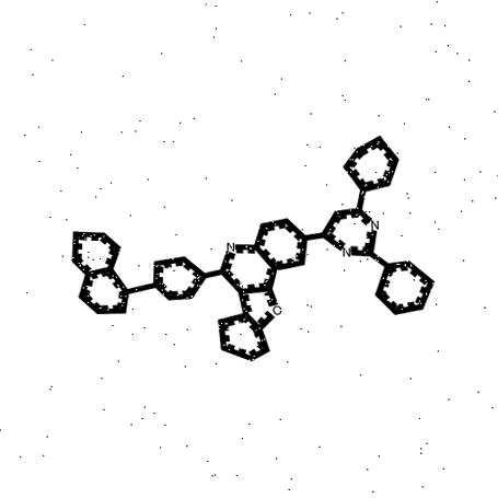 c1ccc(-c2cc(-c3ccc4nc(-c5ccc(-c6cccc7ccccc67)cc5)c5c6ccccc6oc5c4c3)nc(-c3ccccc3)n2)cc1